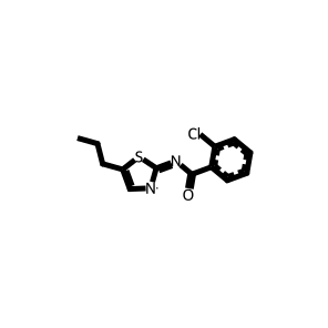 CCCC1=C[N]C(=NC(=O)c2ccccc2Cl)S1